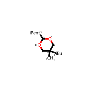 CCCC(C)C1OCC(C)(C(C)CC)CO1